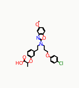 COc1ccc2oc(N(CCCOc3ccc(Cl)cc3)CCc3cccc(OC(C)C(=O)O)c3)nc2c1